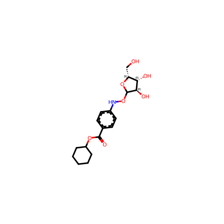 O=C(OC1CCCCC1)c1ccc(NOC2O[C@H](CO)[C@H](O)[C@H]2O)cc1